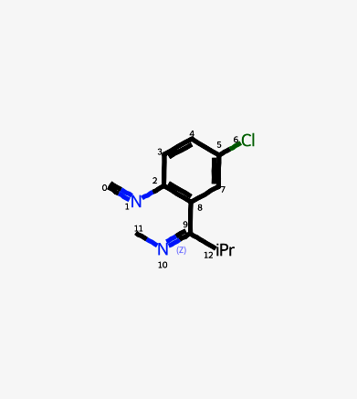 C=Nc1ccc(Cl)cc1/C(=N\C)C(C)C